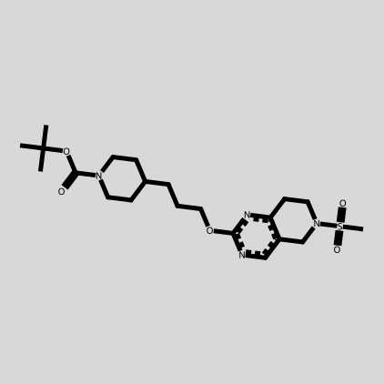 CC(C)(C)OC(=O)N1CCC(CCCOc2ncc3c(n2)CCN(S(C)(=O)=O)C3)CC1